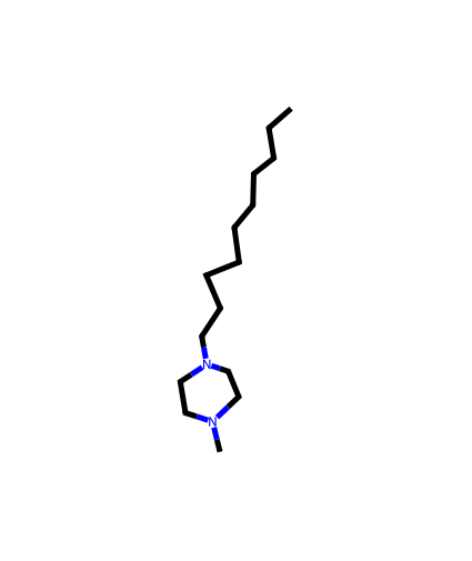 CCCCCCCCCCN1CCN(C)CC1